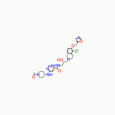 CC(=O)N1CCC(Nc2cc(C(=O)NC[C@H](O)CN3CCc4c(ccc(OCc5cnco5)c4Cl)C3)ncn2)CC1